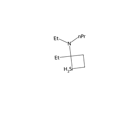 CCCN(CC)C1(CC)CC[SiH2]1